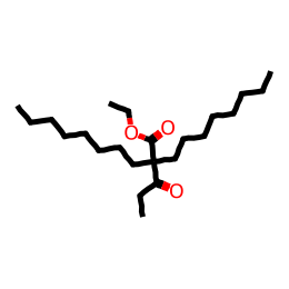 CCCCCCCCC(CCCCCCCC)(C(=O)CC)C(=O)OCC